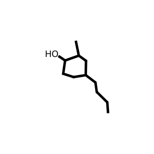 CCCCC1CCC(O)C(C)C1